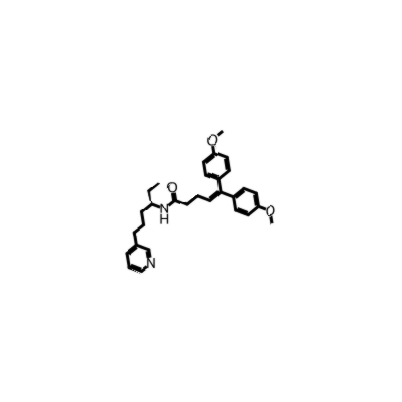 CC[C@H](CCCc1cccnc1)NC(=O)CCC=C(c1ccc(OC)cc1)c1ccc(OC)cc1